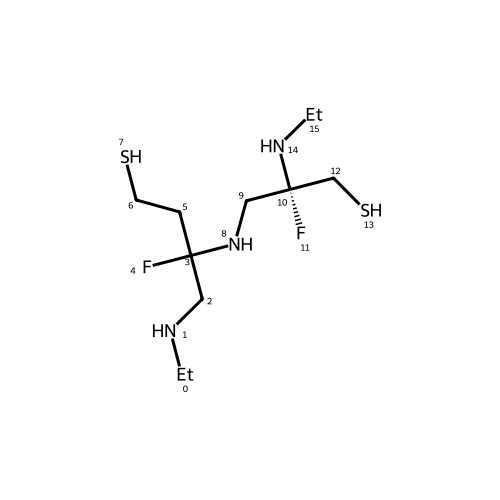 CCNCC(F)(CCS)NC[C@](F)(CS)NCC